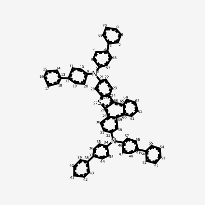 c1ccc(-c2ccc(N(c3ccc(-c4ccccc4)cc3)c3ccc4c(c3)sc3c5ccc(N(c6ccc(-c7ccccc7)cc6)c6ccc(-c7ccccc7)cc6)cc5c5ccccc5c43)cc2)cc1